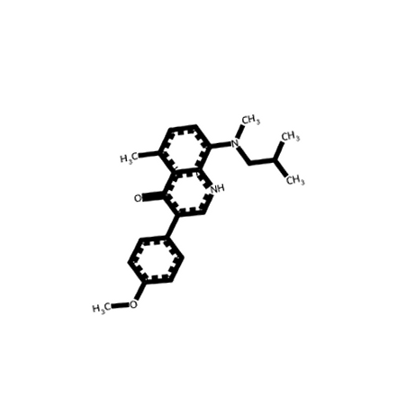 COc1ccc(-c2c[nH]c3c(N(C)CC(C)C)ccc(C)c3c2=O)cc1